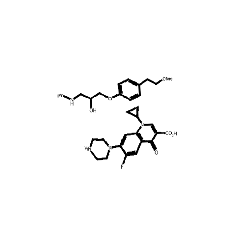 COCCc1ccc(OCC(O)CNC(C)C)cc1.O=C(O)c1cn(C2CC2)c2cc(N3CCNCC3)c(F)cc2c1=O